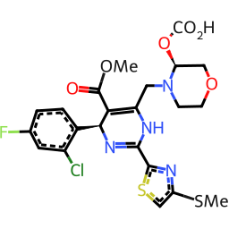 COC(=O)C1=C(CN2CCOC[C@@H]2OC(=O)O)NC(c2nc(SC)cs2)=N[C@H]1c1ccc(F)cc1Cl